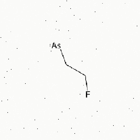 FCC[As]